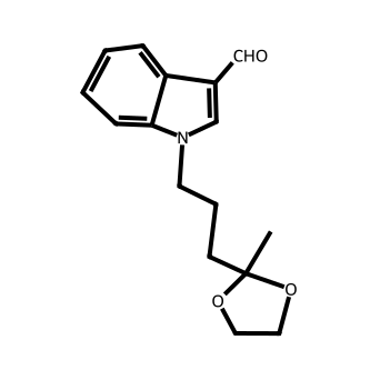 CC1(CCCn2cc(C=O)c3ccccc32)OCCO1